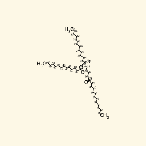 CCCCCCCCCCCCCC(=O)OCCC(COC(=O)CCCCCCCCCCCCC)OC(=O)CCCCCCCCCCCCC